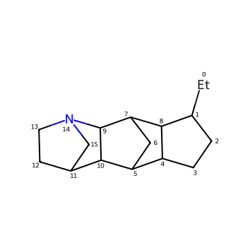 CCC1CCC2C3CC(C12)C1C3C2CCN1C2